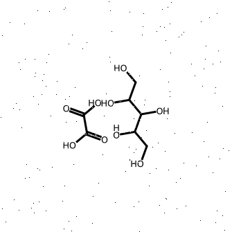 O=C(O)C(=O)O.OCC(O)C(O)C(O)CO